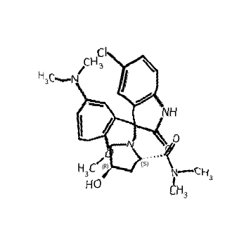 COc1ccc(N(C)C)cc1C1(N2C[C@H](O)C[C@H]2C(=O)N(C)C)C(=O)Nc2ccc(Cl)cc21